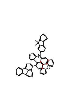 CC1(C)c2ccccc2-c2ccc(N(c3ccc4oc5ccccc5c4c3)c3ccccc3-c3cc(-c4ccccc4)ccc3-c3ccc4c5c(cccc35)-c3ccccc3-4)cc21